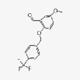 COc1ccc(OCc2ccc(C(F)(F)F)cc2)c(C=O)c1